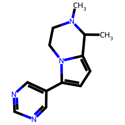 CC1c2ccc(-c3cncnc3)n2CCN1C